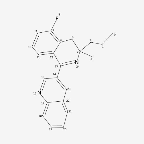 CCCC1(C)Cc2c(F)cccc2C(c2cnc3ccccc3c2)=N1